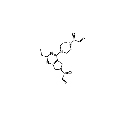 C=CC(=O)N1CCN(c2nc(CC)nc3c2CN(C(=O)C=C)C3)CC1